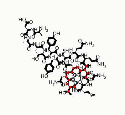 CSCC[C@H](NC(=O)[C@@H](NC(=O)[C@H](C)NC(=O)[C@H](C)NC(=O)[C@H](CC(=O)O)NC(=O)[C@H](CCC(N)=O)NC(=O)[C@H](CCC(N)=O)NC(=O)[C@H](CS)NC(=O)[C@H](Cc1ccc(O)cc1)NC(=O)[C@H](Cc1ccc(O)cc1)NC(=O)[C@@H](NC(=O)[C@H](C)NC(=O)[C@H](C)NC(=O)[C@H](CC(=O)O)NC(=O)[C@H](C)N)[C@@H](C)O)C(C)C)C(=O)N[C@@H](CC(N)=O)C(=O)N[C@H](C(=O)N[C@@H](CC(=O)O)C(=O)N[C@@H](CC(N)=O)C(=O)N[C@H](C(=O)O)[C@@H](C)O)C(C)C